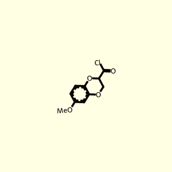 COc1ccc2c(c1)OCC(C(=O)Cl)O2